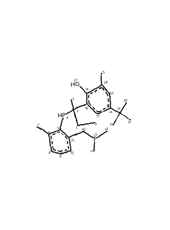 CCC(C)(Pc1c(C)cccc1CP(C)C)c1cc(C(C)(C)C)cc(C)c1O